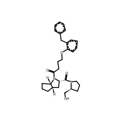 O=C([C@@H]1C[C@@H]2CCC[C@@H]2N1C(=O)CCCOc1ccccc1Cc1ccccc1)N1CCC[C@H]1CO